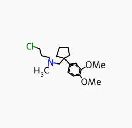 COc1ccc(C2(CN(C)CCCCl)CCCC2)cc1OC